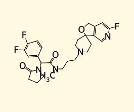 CN(CCCN1CCC2(CC1)OCc1cc(F)ncc12)C(=O)C(c1ccc(F)c(F)c1)N1CCCC1=O